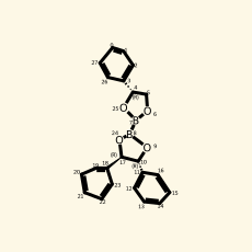 c1ccc([C@@H]2COB(B3O[C@H](c4ccccc4)[C@@H](c4ccccc4)O3)O2)cc1